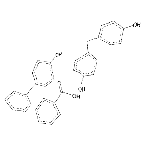 O=C(O)c1ccccc1.Oc1ccc(-c2ccccc2)cc1.Oc1ccc(Cc2ccc(O)cc2)cc1